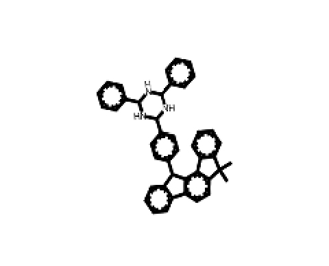 CC1(C)c2ccccc2-c2c1ccc1c2C(c2ccc(C3NC(c4ccccc4)NC(c4ccccc4)N3)cc2)c2ccccc2-1